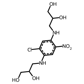 O=[N+]([O-])c1cc(NCC(O)CO)c(Cl)cc1NCC(O)CO